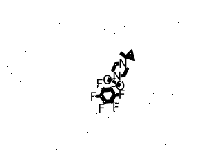 CC1(N2CCN(S(=O)(=O)c3c(F)c(F)c(F)c(F)c3F)CC2)CC1